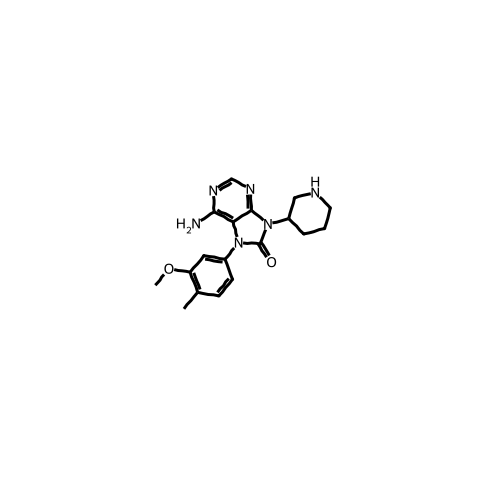 COc1cc(-n2c(=O)n(C3CCCNC3)c3ncnc(N)c32)ccc1C